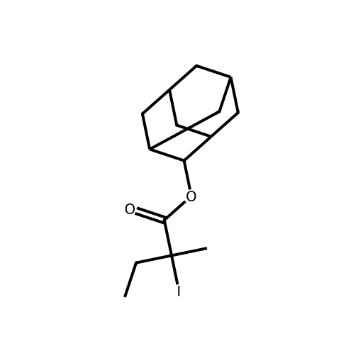 CCC(C)(I)C(=O)OC1C2CC3CC(C2)CC1C3